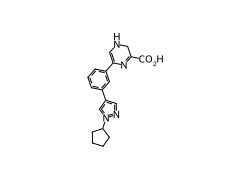 O=C(O)C1=NC(c2cccc(-c3cnn(C4CCCC4)c3)c2)=CNC1